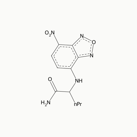 CCCC(Nc1ccc([N+](=O)[O-])c2nonc12)C(N)=O